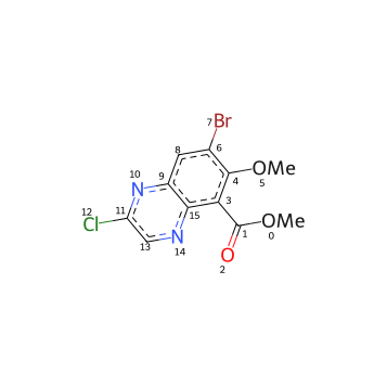 COC(=O)c1c(OC)c(Br)cc2nc(Cl)cnc12